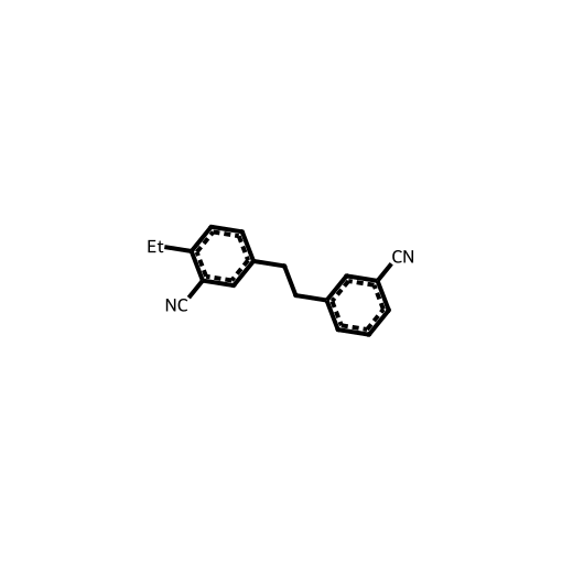 CCc1ccc(CCc2cccc(C#N)c2)cc1C#N